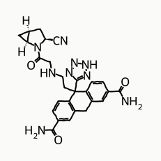 N#C[C@@H]1C[C@@H]2C[C@@H]2N1C(=O)CNCCC1(c2nn[nH]n2)c2ccc(C(N)=O)cc2Cc2cc(C(N)=O)ccc21